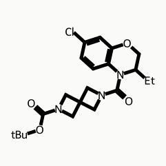 CCC1COc2cc(Cl)ccc2N1C(=O)N1CC2(CN(C(=O)OC(C)(C)C)C2)C1